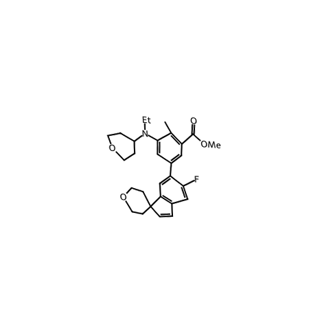 CCN(c1cc(-c2cc3c(cc2F)C=CC32CCOCC2)cc(C(=O)OC)c1C)C1CCOCC1